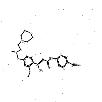 COc1cc(CN(C)CCN2CCOCC2)ccc1/C(N)=C/C(=N)Nc1cnc(C#N)cn1